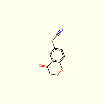 N#CSc1ccc2c(c1)C(=O)CCO2